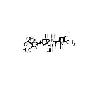 Cc1nc(N2C[C@@H]3[C@H](C2)[C@H]3NC(=O)c2cc(Cl)c(C)[nH]2)sc1C(=O)O.[LiH]